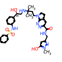 Cn1nc(CNC(=O)c2cc3ccn(CCC(C)(C)NC[C@H](O)c4cccc(NS(=O)(=O)c5ccccc5)c4)c3nn2)cc1O